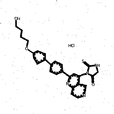 Cl.O=C1CNC(=S)N1c1cc(-c2ccc(-c3ccc(OCCCCO)cc3)cc2)nc2ccncc12